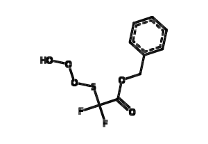 O=C(OCc1ccccc1)C(F)(F)SOOO